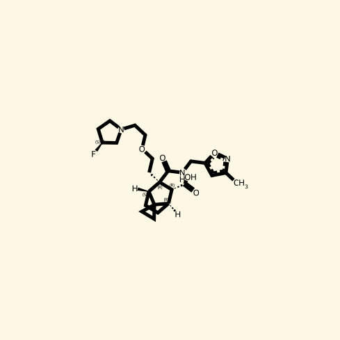 Cc1cc(CNC(=O)[C@@]2(CCOCCN3CC[C@H](F)C3)[C@H](C(=O)O)[C@H]3CC[C@H]2C32CC2)on1